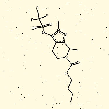 CCCCOC(=O)N1CCc2c(nn(C)c2OS(=O)(=O)C(F)(F)F)C1C